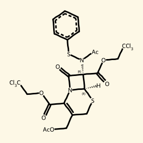 CC(=O)OCC1=C(C(=O)OCC(Cl)(Cl)Cl)N2C(=O)[C@](C(=O)OCC(Cl)(Cl)Cl)(N(Sc3ccccc3)C(C)=O)[C@H]2SC1